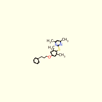 Cc1cc(C)nc(Sc2c(C)cc(OCCCc3ccccc3)cc2C)n1